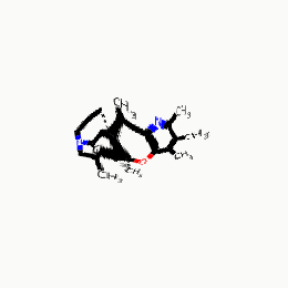 Cc1nc2c(c(C)c1C)O[C@@]1(C)C(C)CN3CC[C@@]1(C2C)[C@H]3C